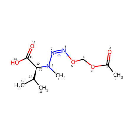 CC(=O)OCO/N=N\N(C)[C@H](C(=O)O)C(C)C